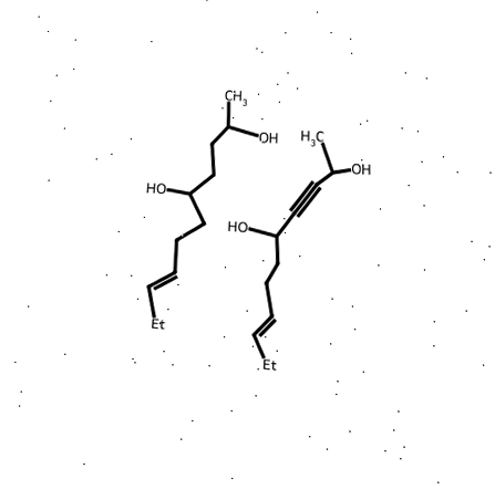 CC/C=C/CCC(O)C#CC(C)O.CC/C=C/CCC(O)CCC(C)O